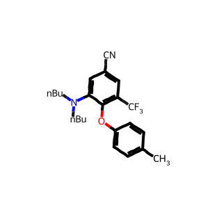 CCCCN(CCCC)c1cc(C#N)cc(C(F)(F)F)c1Oc1ccc(C)cc1